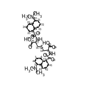 CN(C)c1cccc2c(S(=O)(=O)NC(CSCC(NS(=O)(=O)c3cccc4c(N(C)C)cccc34)C(=O)O)C(=O)O)cccc12